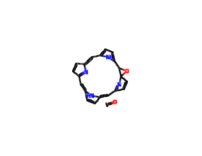 C1=CC2=NC1=Cc1ccc([nH]1)C1OC13C=CC(=N3)C=c1ccc([nH]1)=C2.[O]=[V]